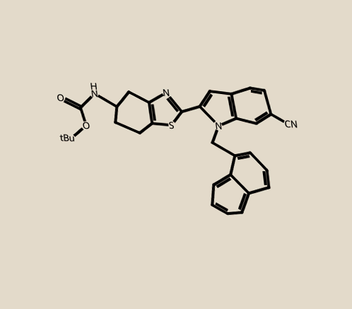 CC(C)(C)OC(=O)NC1CCc2sc(-c3cc4ccc(C#N)cc4n3Cc3cccc4ccccc34)nc2C1